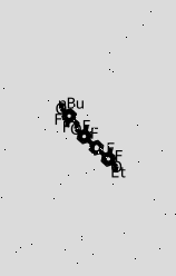 CCCCOc1ccc(COc2ccc(C3=CCC(c4ccc(OCC)c(F)c4F)CC3)c(F)c2F)c(F)c1F